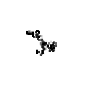 Cc1cc(OCC2CCN(C(=O)OC(C)(C)C)CC2)cc(OS(=O)(=O)c2ccccc2C(F)(F)F)c1